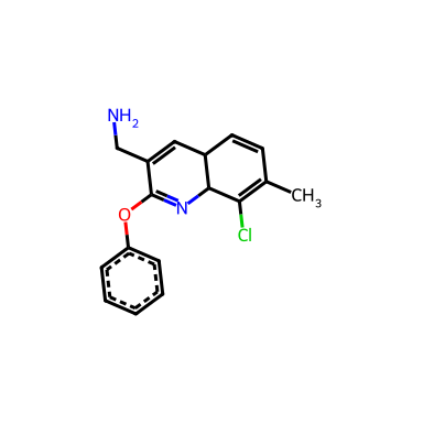 CC1=C(Cl)C2N=C(Oc3ccccc3)C(CN)=CC2C=C1